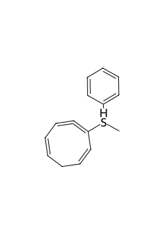 C[SH](C1=C=C/C=C\C/C=C\1)c1ccccc1